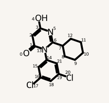 O=c1cc(O)nc(C2CCCCC2)n1-c1cc(Cl)cc(Cl)c1